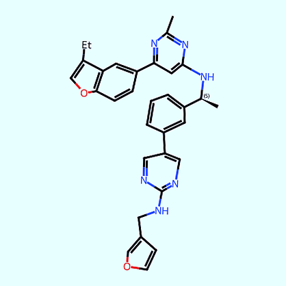 CCc1coc2ccc(-c3cc(N[C@@H](C)c4cccc(-c5cnc(NCc6ccoc6)nc5)c4)nc(C)n3)cc12